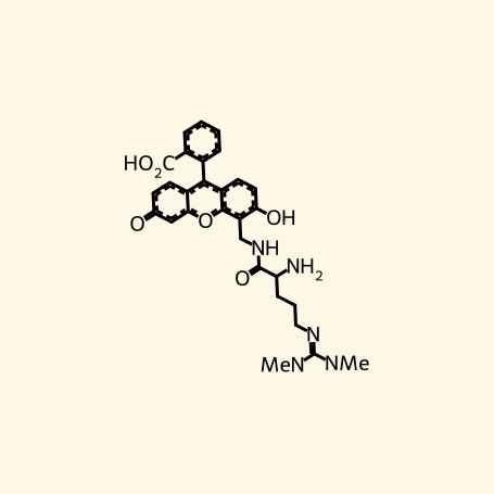 CNC(=NCCCC(N)C(=O)NCc1c(O)ccc2c(-c3ccccc3C(=O)O)c3ccc(=O)cc-3oc12)NC